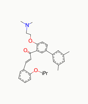 Cc1cc(C)cc(-c2ccc(OCCN(C)C)c(C(=O)/C=C/c3ccccc3OC(C)C)c2)c1